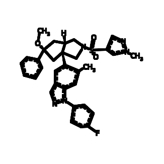 CO[C@@]1(c2ccccc2)C[C@@H]2CN(S(=O)(=O)c3cnn(C)c3)C[C@]2(c2cc3cnn(-c4ccc(F)cc4)c3cc2C)C1